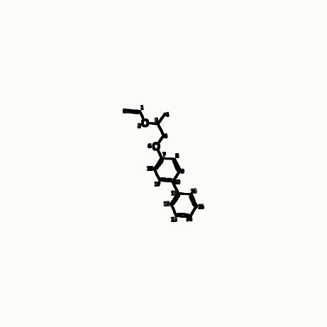 C=COC(C)COc1ccc(-c2ccccc2)cc1